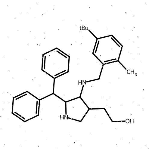 Cc1ccc(C(C)(C)C)cc1CNC1C(CCO)CNC1C(c1ccccc1)c1ccccc1